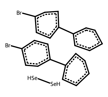 Brc1ccc(-c2ccccc2)cc1.Brc1ccc(-c2ccccc2)cc1.[SeH][SeH]